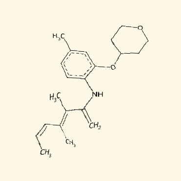 C=C(Nc1ccc(C)cc1OC1CCOCC1)/C(C)=C(C)/C=C\C